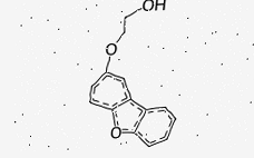 OCCOc1ccc2oc3ccccc3c2c1